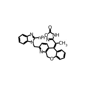 CCCc1nc2ccccc2n1Cc1ccc2c(n1)COc1ccccc1C2=C(C)c1noc(=O)[nH]1